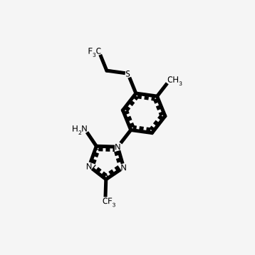 Cc1ccc(-n2nc(C(F)(F)F)nc2N)cc1SCC(F)(F)F